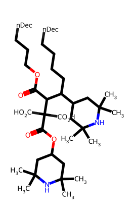 CCCCCCCCCCCCCCC(C1CC(C)(C)NC(C)(C)C1)C(C(=O)OCCCCCCCCCCCCC)C(C(=O)O)(C(=O)O)C(=O)OC1CC(C)(C)NC(C)(C)C1